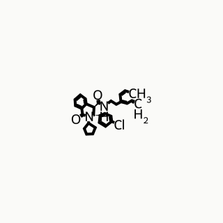 C=C/C=C(\C=C/C)CCNC(=O)[C@@H]1c2ccccc2C(=O)N(C2CCCC2)[C@H]1c1ccc(Cl)cc1